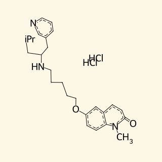 CC(C)CC(Cc1cccnc1)NCCCCCOc1ccc2c(ccc(=O)n2C)c1.Cl.Cl